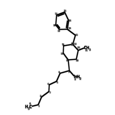 CCCCCCC[CH]([InH2])C1CCN(Cc2ccccc2)C(C)C1